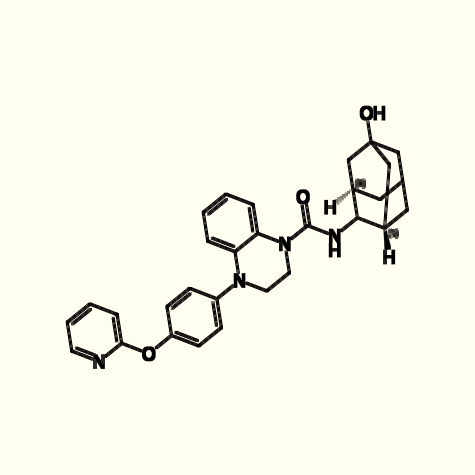 O=C(NC1[C@@H]2CC3C[C@H]1CC(O)(C3)C2)N1CCN(c2ccc(Oc3ccccn3)cc2)c2ccccc21